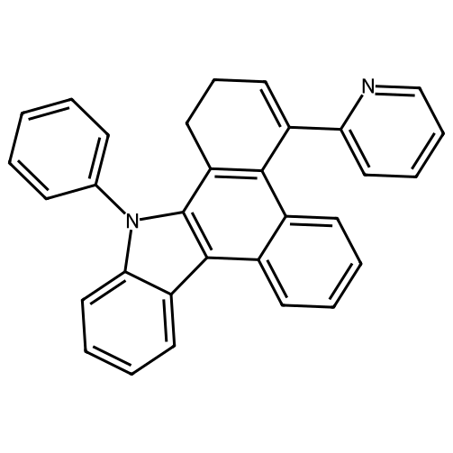 C1=C(c2ccccn2)c2c(c3c(c4ccccc24)c2ccccc2n3-c2ccccc2)CC1